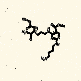 COC(=O)c1cnc(NCCCCN)nc1NCCC[C@H](NC(=O)OC(C)(C)C)C(N)=O